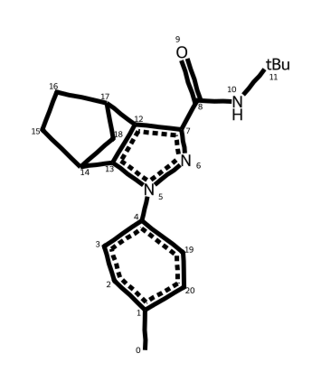 Cc1ccc(-n2nc(C(=O)NC(C)(C)C)c3c2C2CCC3C2)cc1